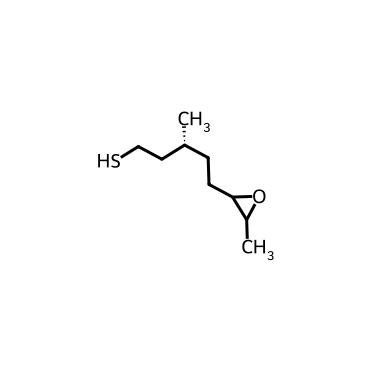 CC1OC1CC[C@@H](C)CCS